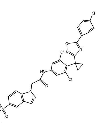 CCS(=O)(=O)c1ccc2c(cnn2CC(=O)Nc2cc(Cl)c(C3(c4noc(-c5ccc(Cl)cc5)n4)CC3)c(Cl)c2)c1